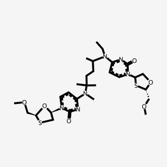 CCN(c1ccn(C2CO[C@H](COC)S2)c(=O)n1)C(C)CCC(C)(C)N(C)c1ccn([C@H]2CS[C@@H](COC)O2)c(=O)n1